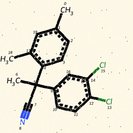 Cc1ccc(C(C)(C#N)c2ccc(Cl)c(Cl)c2)c(C)c1